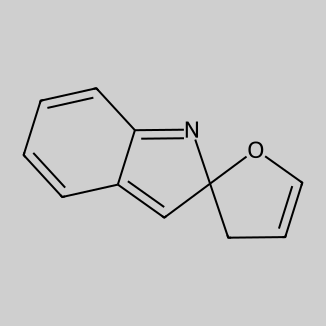 C1=COC2(C=c3ccccc3=N2)C1